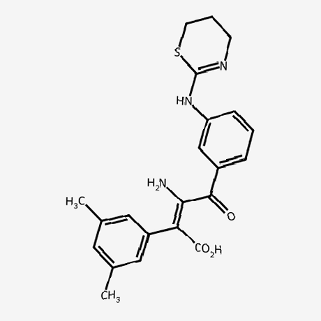 Cc1cc(C)cc(C(C(=O)O)=C(N)C(=O)c2cccc(NC3=NCCCS3)c2)c1